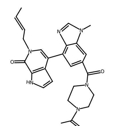 C=C(C)N1CCN(C(=O)c2cc(-c3cn(C/C=C/C)c(=O)c4[nH]ccc34)c3ncn(C)c3c2)CC1